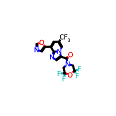 O=C(c1cnc2c(-c3cnco3)cc(C(F)(F)F)cn12)N1CC(F)(F)OC(F)(F)C1